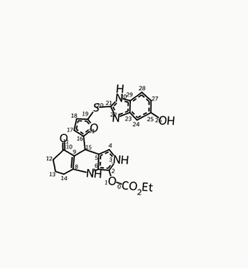 CCOC(=O)Oc1[nH]cc2c1NC1=C(C(=O)CCC1)C2c1ccc(Sc2nc3cc(O)ccc3[nH]2)o1